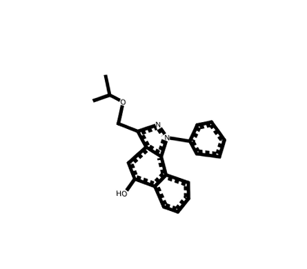 CC(C)OCc1nn(-c2ccccc2)c2c1cc(O)c1ccccc12